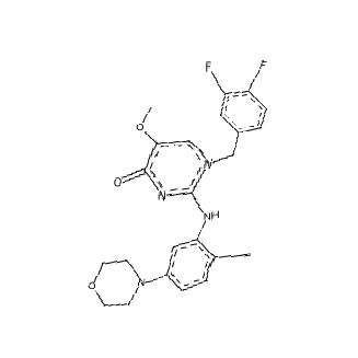 COc1cn(Cc2ccc(F)c(F)c2)c(Nc2cc(N3CCOCC3)ccc2C)nc1=O